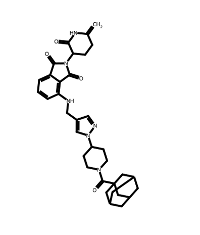 C=C1CCC(N2C(=O)c3cccc(NCc4cnn(C5CCN(C(=O)C67CC8CC(CC(C8)C6)C7)CC5)c4)c3C2=O)C(=O)N1